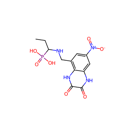 CCC(NCc1cc([N+](=O)[O-])cc2[nH]c(=O)c(=O)[nH]c12)P(=O)(O)O